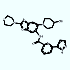 O=C(Nc1cc2oc(N3CCOCC3)nc2cc1N1CCC(O)CC1)c1cccc(-c2ccn[nH]2)n1